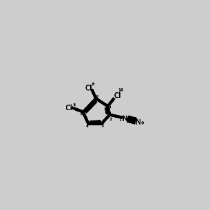 N#[N+]c1ccc(Cl)c(Cl)c1Cl